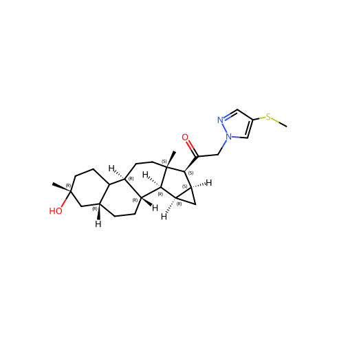 CSc1cnn(CC(=O)[C@H]2[C@H]3C[C@H]3[C@H]3[C@@H]4CC[C@@H]5C[C@](C)(O)CCC5[C@H]4CC[C@@]32C)c1